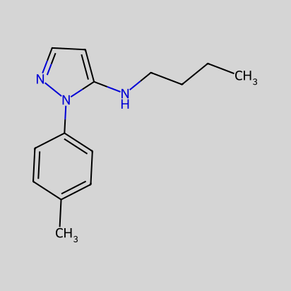 CCCCNc1ccnn1-c1ccc(C)cc1